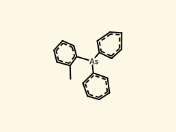 Cc1ccccc1[As](c1ccccc1)c1ccccc1